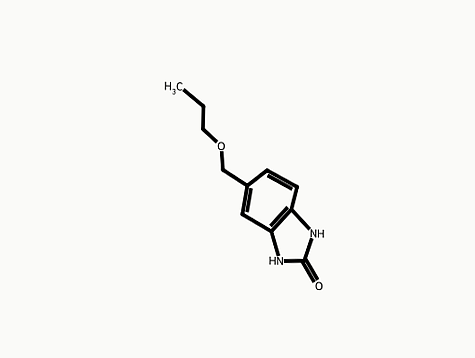 CCCOCc1ccc2[nH]c(=O)[nH]c2c1